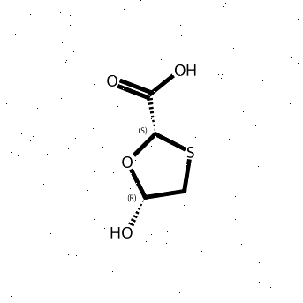 O=C(O)[C@H]1O[C@@H](O)CS1